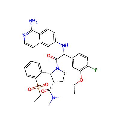 CCOc1cc([C@@H](Nc2ccc3c(N)nccc3c2)C(=O)N2CC[C@H](C(=O)N(C)C)[C@@H]2c2ccccc2S(=O)(=O)CC)ccc1F